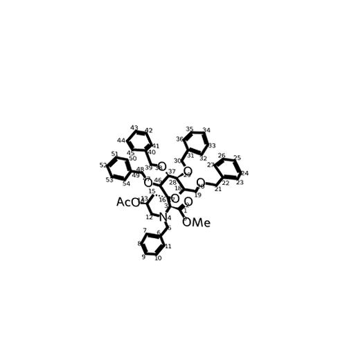 COC(=O)[C@H]1N(Cc2ccccc2)C[C@@H](OC(C)=O)C[C@]12OC(COCc1ccccc1)[C@H](OCc1ccccc1)[C@@H](OCc1ccccc1)C2OCc1ccccc1